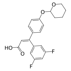 O=C(O)C=C(c1ccc(OC2CCCCO2)cc1)c1cc(F)cc(F)c1